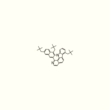 CC(C)(C)Cc1ccc2c(CC(C)(C)C)c3c(cc2c1)c1nccc2ccc4c5c(CC(C)(C)C)cccc5n3c4c21